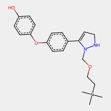 C[Si](C)(C)CCOCN1NCC=C1c1ccc(Oc2ccc(O)cc2)cc1